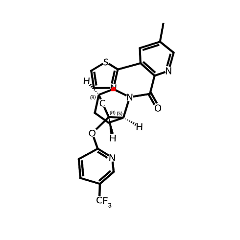 Cc1cnc(C(=O)N2C[C@@H]3CC[C@H]2[C@H](Oc2ccc(C(F)(F)F)cn2)C3)c(-c2nccs2)c1